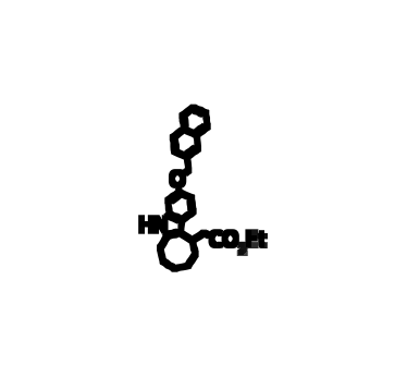 CCOC(=O)CC1CCCCCc2[nH]c3cc(OCc4ccc5ccccc5c4)ccc3c21